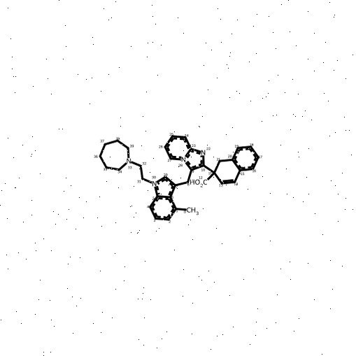 Cc1cccc2c1c(Cc1c(C3(C(=O)O)C=Cc4ccccc4C3)nc3ccccn13)cn2CCN1CCCCCC1